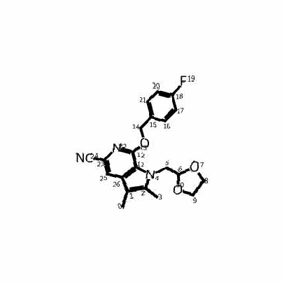 Cc1c(C)n(CC2OCCO2)c2c(OCc3ccc(F)cc3)nc(C#N)cc12